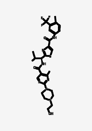 Cc1ccc(NC(=O)c2csc([C@@H](NC(=O)c3cnc(N4CCN(CCO)CC4)nc3C)C(C)C)n2)cc1C(F)(F)F